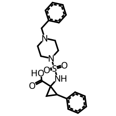 O=C(O)C1(NS(=O)(=O)N2CCN(Cc3ccccc3)CC2)CC1c1ccccc1